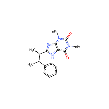 CCCn1c(=O)c2[nH]c([C@H](C)C(C)c3ccccc3)nc2n(CCC)c1=O